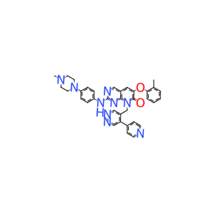 Cc1ccccc1Oc1cc2cnc(Nc3ccc(N4CCN(C)CC4)cc3)nc2n(Cc2cnncc2-c2ccncc2)c1=O